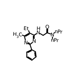 CCCN(CCC)C(=O)CNc1nc(-c2ccccc2)nc(C)c1CC